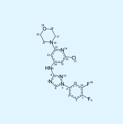 Fc1ccc(-n2cnc(Nc3cc(Cl)nc(N4CCOCC4)c3)n2)cc1F